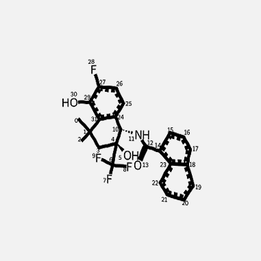 CC1(C)C[C@@](O)(C(F)(F)F)[C@@H](NC(=O)c2cccc3ccccc23)c2ccc(F)c(O)c21